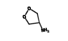 NC1COOC1